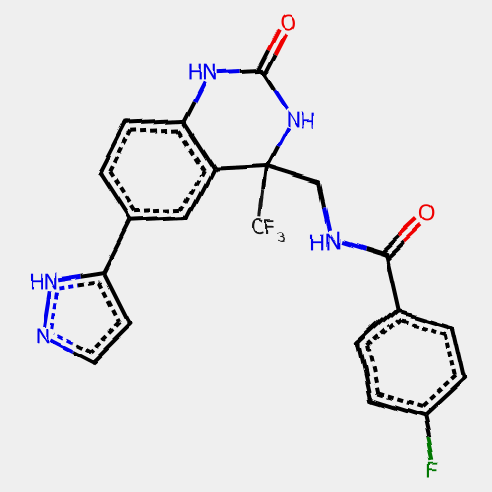 O=C1Nc2ccc(-c3ccn[nH]3)cc2C(CNC(=O)c2ccc(F)cc2)(C(F)(F)F)N1